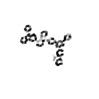 CC1(C)c2ccccc2-c2ccc(-c3nc(-c4ccccc4)cc(-c4ccc(-n5c6ccccc6c6c(-c7ccc8c(c7)c7ccccc7n8-c7ccccc7)cccc65)cc4)n3)cc21